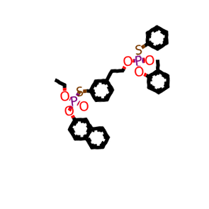 CCOP(=O)(Oc1ccc2ccccc2c1)Sc1cccc(CCOP(=O)(Oc2ccccc2C)Sc2ccccc2)c1